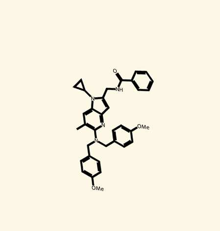 COc1ccc(CN(Cc2ccc(OC)cc2)c2nc3cc(CNC(=O)c4ccccc4)n(C4CC4)c3cc2C)cc1